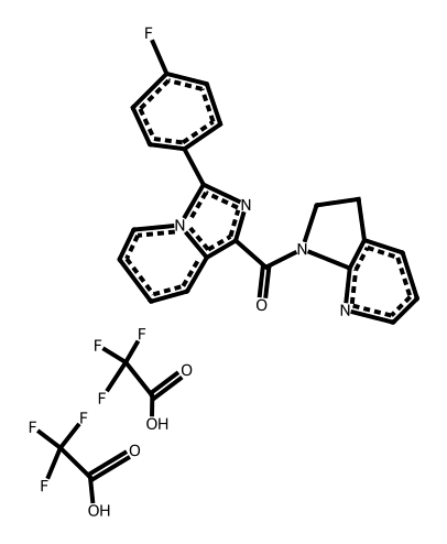 O=C(O)C(F)(F)F.O=C(O)C(F)(F)F.O=C(c1nc(-c2ccc(F)cc2)n2ccccc12)N1CCc2cccnc21